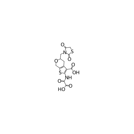 O=C(O)C(=O)Nc1sc2c(c1C(=O)O)CC(CN1C(=O)CSC1=O)OC2